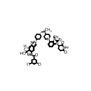 CN(C[C@H]1CC[C@H](n2cc3cc(NC(=O)c4cc(Cl)cc(Cl)c4)c(C(C)(C)O)cc3n2)CC1)C1CCN(c2cccc3c2n(C)c(=O)n3C2CCC(=O)NC2=O)CC1